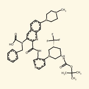 CN1CCN(c2ccc3cc(N(Cc4ccccc4)C(=O)O)c(C(=O)Nc4cnccc4N4C[C@@H](NC(=O)OC(C)(C)C)C[C@@H](C(F)(F)F)C4)nc3c2)CC1